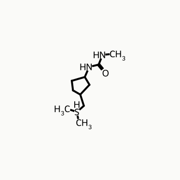 CNC(=O)NC1CCC(C[SH](C)C)C1